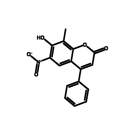 Cc1c(O)c([N+](=O)[O-])cc2c(-c3ccccc3)cc(=O)oc12